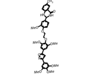 COc1cc(C2NC(=O)c3cc(C)ccc3N2)ccc1OCCOc1c(OC)cc(-c2cc(-c3cc(OC)c(OC)c(OC)c3)no2)cc1OC